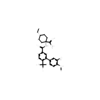 CC[C@H]1CC[C@](NC(=O)c2ccc(C(F)(F)F)c(-c3ccc(OC)c(Cl)c3)c2)(C(=O)O)CC1